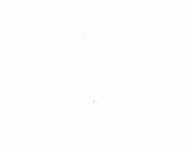 O=C1C=C(c2cccc3ncccc23)CN1